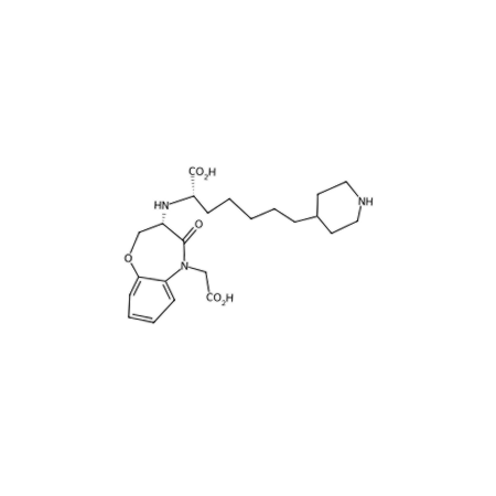 O=C(O)CN1C(=O)[C@@H](N[C@@H](CCCCCC2CCNCC2)C(=O)O)COc2ccccc21